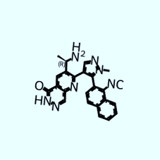 [C-]#[N+]c1c(-c2c(-c3nc4cn[nH]c(=O)c4cc3[C@@H](C)N)cnn2C)ccc2ccccc12